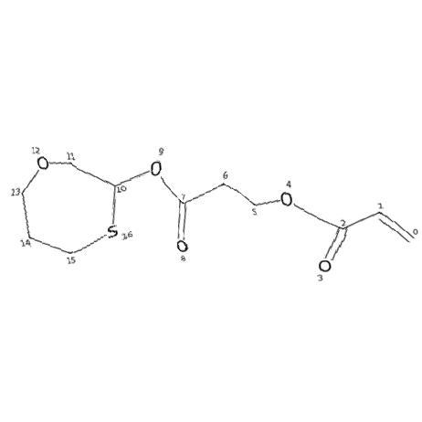 C=CC(=O)OCCC(=O)OC1COCCCS1